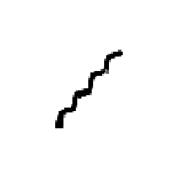 C=CCC=CCOCC